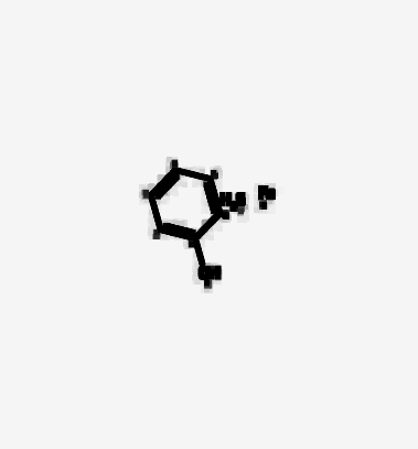 Oc1ccccc1.S.[Fe]